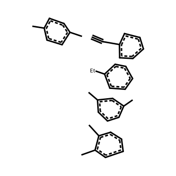 C#Cc1ccccc1.CCc1ccccc1.Cc1ccc(C)cc1.Cc1cccc(C)c1.Cc1ccccc1C